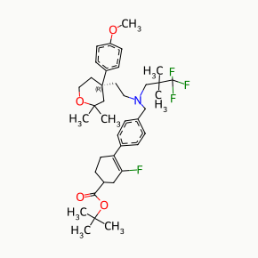 COc1ccc([C@]2(CCN(Cc3ccc(C4=C(F)CC(C(=O)OC(C)(C)C)CC4)cc3)CC(C)(C)C(F)(F)F)CCOC(C)(C)C2)cc1